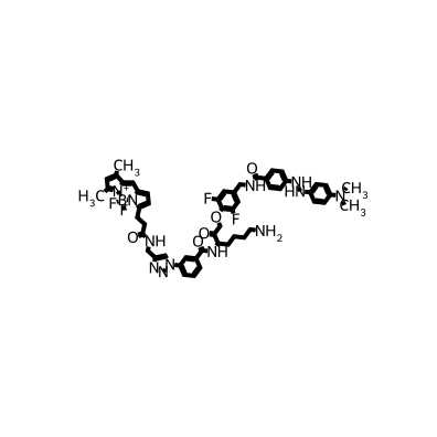 CC1=CC(C)=[N+]2C1=Cc1ccc(CCC(=O)NCc3cn(-c4cccc(C(=O)NC(CCCCN)C(=O)COc5c(F)cc(CNC(=O)c6ccc(NNc7ccc(N(C)C)cc7)cc6)cc5F)c4)nn3)n1[B-]2(F)F